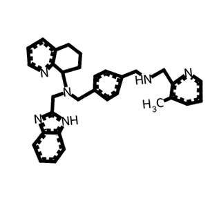 Cc1cccnc1CNCc1ccc(CN(Cc2nc3ccccc3[nH]2)C2CCCc3cccnc32)cc1